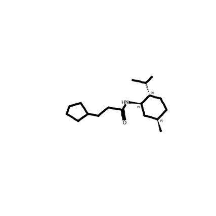 CC(C)[C@@H]1CC[C@@H](C)C[C@H]1NC(=O)CCC1CCCC1